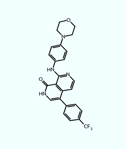 O=c1[nH]cc(-c2ccc(C(F)(F)F)cc2)c2ccnc(Nc3ccc(N4CCOCC4)cc3)c12